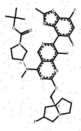 Cc1nc2c(-c3ncc4c(N(C)[C@@H]5CCN(C(=O)OC(C)(C)C)C5)nc(OC[C@@]56CCCN5CC(F)C6)nc4c3F)c(F)cc(F)c2s1